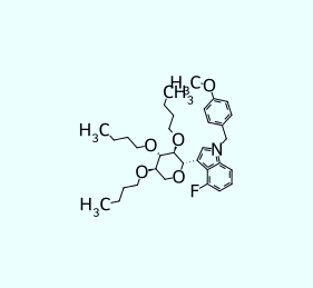 CCCCO[C@@H]1[C@@H](OCCCC)[C@H](c2cn(Cc3ccc(OC)cc3)c3cccc(F)c23)OC[C@H]1OCCCC